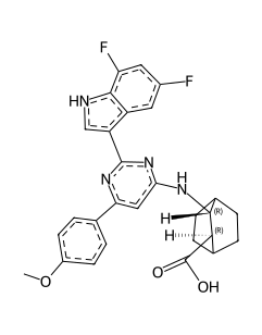 COc1ccc(-c2cc(N[C@@H]3C4CCC(CC4)[C@H]3C(=O)O)nc(-c3c[nH]c4c(F)cc(F)cc34)n2)cc1